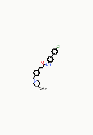 COC1CCN(Cc2ccc(C=CC(=O)Nc3ccc(-c4ccc(Cl)cc4)cc3)cc2)CC1